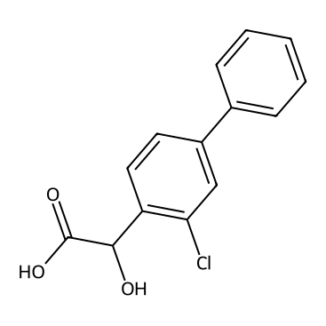 O=C(O)C(O)c1ccc(-c2ccccc2)cc1Cl